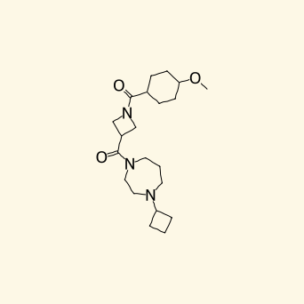 COC1CCC(C(=O)N2CC(C(=O)N3CCCN(C4CCC4)CC3)C2)CC1